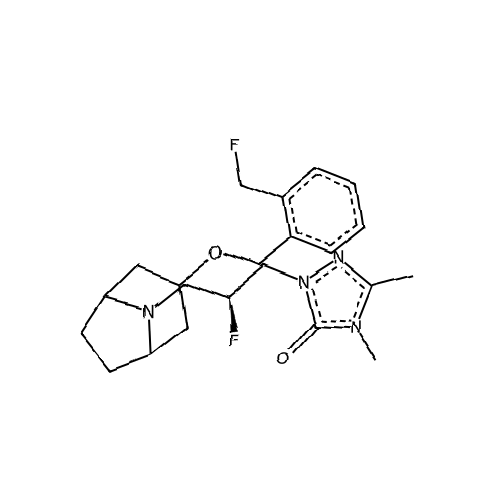 Cc1nn(C[C@@H](F)CN2C3CCC2CC(OCc2ccccc2CF)C3)c(=O)n1C